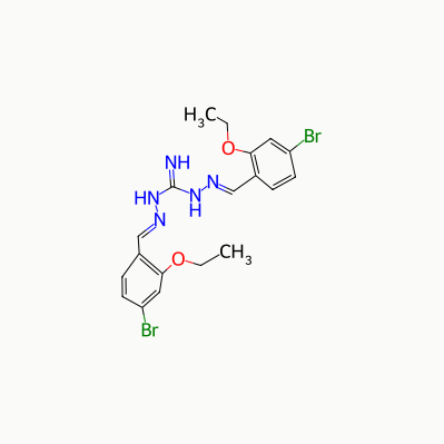 CCOc1cc(Br)ccc1/C=N/NC(=N)N/N=C/c1ccc(Br)cc1OCC